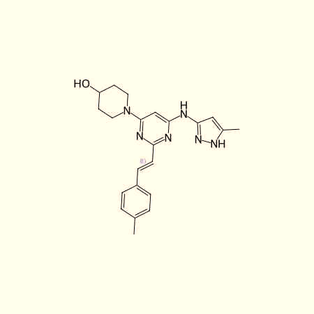 Cc1ccc(/C=C/c2nc(Nc3cc(C)[nH]n3)cc(N3CCC(O)CC3)n2)cc1